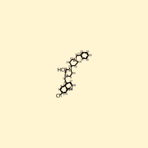 Cl.Clc1ccc2c(CN3CCN(C4CCN(Cc5ccccc5)CC4)CC3)ccnc2c1